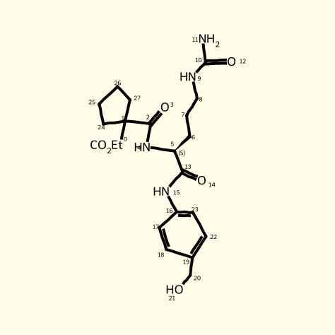 CCOC(=O)C1(C(=O)N[C@@H](CCCNC(N)=O)C(=O)Nc2ccc(CO)cc2)CCCC1